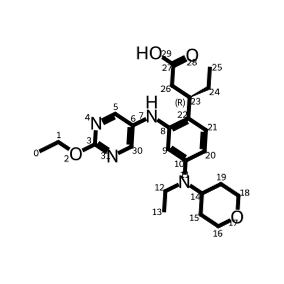 CCOc1ncc(Nc2cc(N(CC)C3CCOCC3)ccc2[C@H](CC)CC(=O)O)cn1